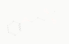 CS(=O)(=O)CCCOc1cc[c]cc1